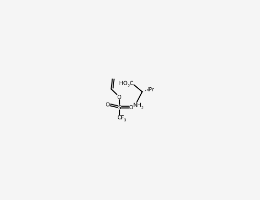 C=COS(=O)(=O)C(F)(F)F.CC(C)[C@H](N)C(=O)O